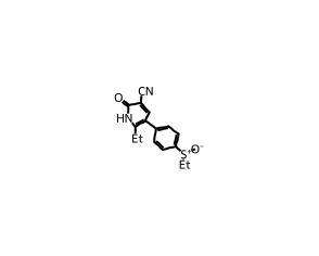 CCc1[nH]c(=O)c(C#N)cc1-c1ccc([S+]([O-])CC)cc1